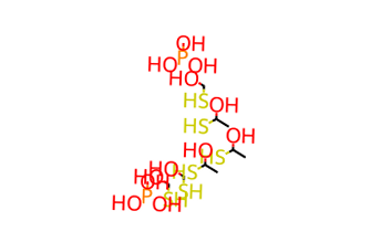 CC(O)S.CC(O)S.CC(O)S.OCS.OCS.OCS.OP(O)O.OP(O)O